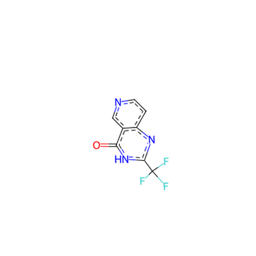 O=c1[nH]c(C(F)(F)F)nc2ccncc12